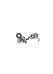 CCC[SiH2]CCCN(C)CS(=O)(=O)c1ccccc1